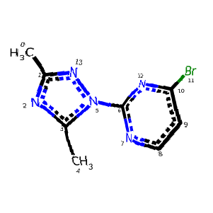 Cc1nc(C)n(-c2nccc(Br)n2)n1